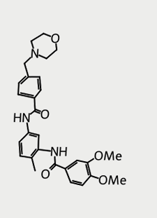 COc1ccc(C(=O)Nc2cc(NC(=O)c3ccc(CN4CCOCC4)cc3)ccc2C)cc1OC